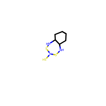 SN1SNC2CCCCC2NS1